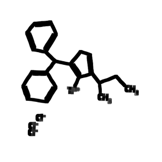 CCC(C)C1=CCC(C(c2ccccc2)c2ccccc2)=[C]1[Ti+3].[Cl-].[Cl-].[Cl-]